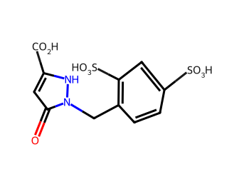 O=C(O)c1cc(=O)n(Cc2ccc(S(=O)(=O)O)cc2S(=O)(=O)O)[nH]1